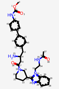 COC(=O)Nc1ccc(-c2ccc(CC(N)CC(=O)N3CCCC(c4nc5ccccc5n4CCNC(C)=O)C3)cc2)cc1